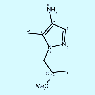 CO[C@@H](C)Cn1ncc(N)c1C